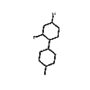 CCC1CCC(C2CCC(C)CC2)C(F)C1